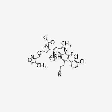 Cc1conc1COC1CC(c2cc3c(C)nc4c(F)c(-c5cccc(Cl)c5Cl)c(CCC#N)cc4c3n2C2C3CNC2C3)N(C(=O)C2CC2)C1